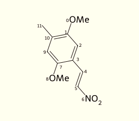 COc1cc(C=C[N+](=O)[O-])c(OC)cc1C